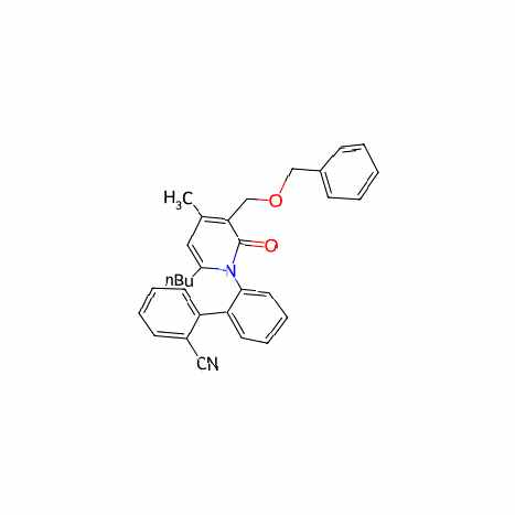 CCCCc1cc(C)c(COCc2ccccc2)c(=O)n1-c1ccccc1-c1ccccc1C#N